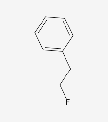 FCCc1ccccc1